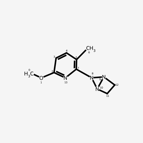 COc1ccc(C)c(-n2n3n2CC3)n1